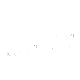 O=C(O)c1ccc2nc(N3CCC4(C=C(c5c(-c6c(Cl)cccc6Cl)noc5C5CC5)C4)CC3)ccc2c1